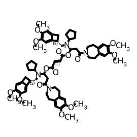 COc1cc2c(cc1OC)CCN(C(=O)CC(OC(=O)/C=C/C(=O)OC(CC(=O)N1CCc3cc(OC)c(OC)cc3CC1)N(C[C@H]1Cc3cc(OC)c(OC)cc31)C1CCCC1)N(C[C@H]1Cc3cc(OC)c(OC)cc31)C1CCCC1)CC2